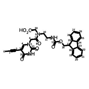 CC#Cc1cn(CC(=O)N(CCNC(=O)OCC2c3ccccc3-c3ccccc32)CC(=O)O)c(=O)[nH]c1=O